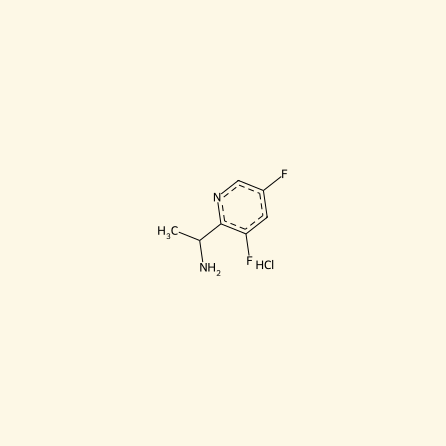 CC(N)c1ncc(F)cc1F.Cl